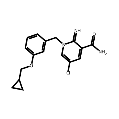 N=c1c(C(N)=O)cc(Cl)cn1Cc1cccc(OCC2CC2)c1